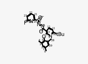 Cc1cc(C)c(Oc2nc(C(C)(C)C)ccc2C(=O)N=N[S+]([O-])c2cccc(F)n2)c(C)c1